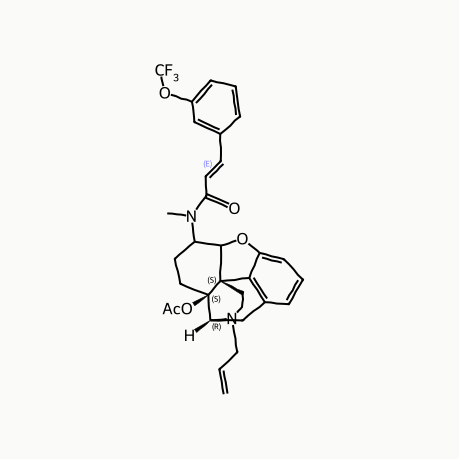 C=CCN1CC[C@]23c4c5cccc4OC2C(N(C)C(=O)/C=C/c2cccc(OC(F)(F)F)c2)CC[C@@]3(OC(C)=O)[C@H]1C5